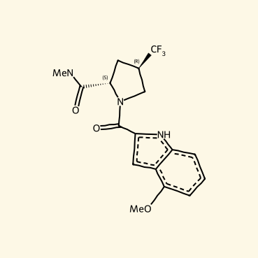 CNC(=O)[C@@H]1C[C@@H](C(F)(F)F)CN1C(=O)c1cc2c(OC)cccc2[nH]1